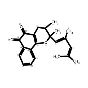 CC(C)=C/C(C)=C/C1(C)OC2=C(CC1C)C(=O)C(=O)c1ccccc12